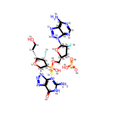 Nc1nc2c(nnn2[C@@H]2O[C@H](CCO)[C@H](F)[C@H]2P(O)(=S)OC[C@H]2O[C@@H](n3nnc4c(N)ncnc43)[C@@H](F)[C@@H]2O[PH](=O)O)c(=O)[nH]1